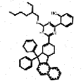 CCCCC(CC)COC1N=C(C2C=CC=CC2O)N=C(C2=CC3C(CC2)c2c(ccc4ccccc24)C3(C2=CCCC=C2)C2=CC=CCC2)N1